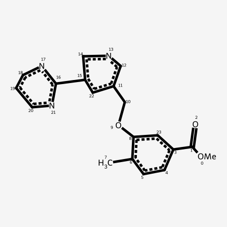 COC(=O)c1ccc(C)c(OCc2cncc(-c3ncccn3)c2)c1